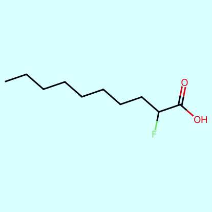 CCCCCCCCC(F)C(=O)O